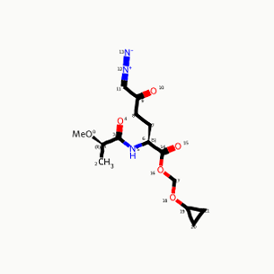 CO[C@H](C)C(=O)N[C@@H](CCC(=O)C=[N+]=[N-])C(=O)OCOC1CC1